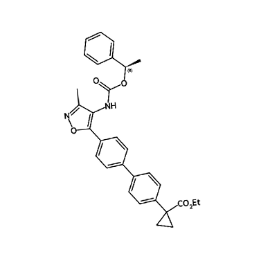 CCOC(=O)C1(c2ccc(-c3ccc(-c4onc(C)c4NC(=O)O[C@H](C)c4ccccc4)cc3)cc2)CC1